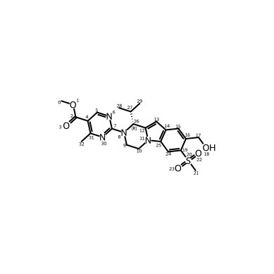 COC(=O)c1cnc(N2CCn3c(cc4cc(CO)c(S(C)(=O)=O)cc43)[C@H]2C(C)C)nc1C